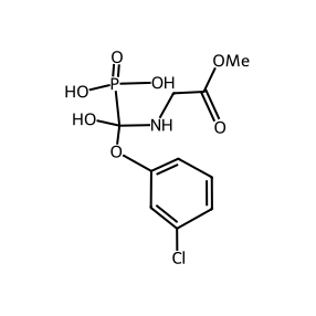 COC(=O)CNC(O)(Oc1cccc(Cl)c1)P(=O)(O)O